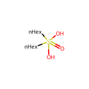 CCCCCCS(=O)(O)(O)CCCCCC